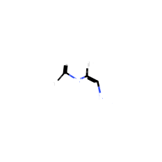 C=C(N/C(=C\N)C(C)C)C(C)C